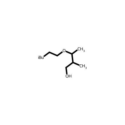 CCC(C)CCOC(C)C(C)CO